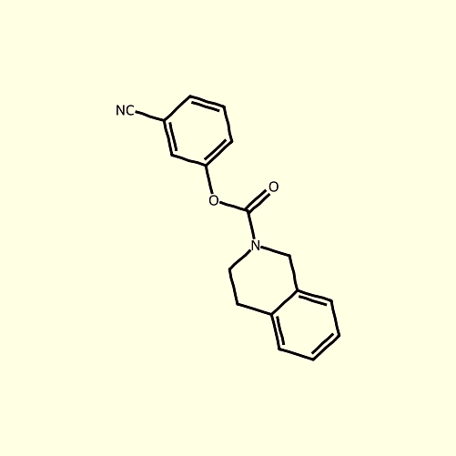 N#Cc1cccc(OC(=O)N2CCc3ccccc3C2)c1